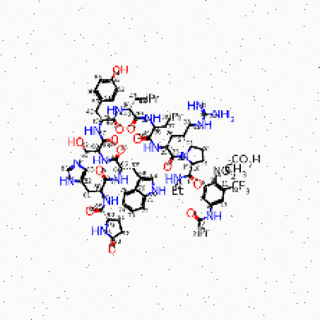 CC(=O)O.CC(C)C(=O)Nc1ccc([N+](=O)[O-])c(C(F)(F)F)c1.CCNC(=O)[C@@H]1CCCN1C(=O)[C@H](CCCNC(=N)N)NC(=O)[C@H](CC(C)C)NC(=O)[C@@H](CC(C)C)NC(=O)[C@H](Cc1ccc(O)cc1)NC(=O)[C@H](CO)NC(=O)[C@H](Cc1c[nH]c2ccccc12)NC(=O)[C@H](Cc1cnc[nH]1)NC(=O)[C@@H]1CCC(=O)N1